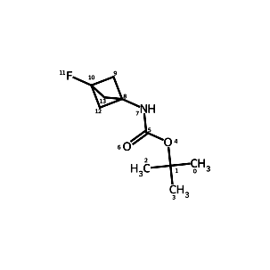 CC(C)(C)OC(=O)NC12CC(F)(C1)C2